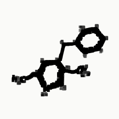 Cc1cc(Cc2ccccc2)c(C)cn1